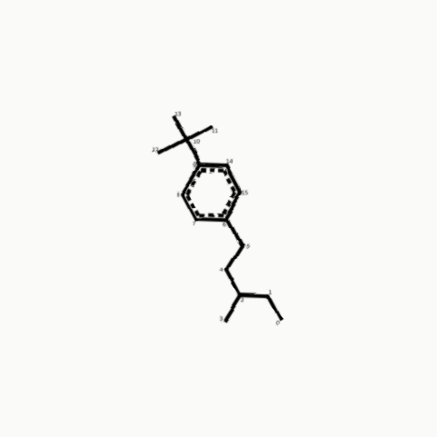 CCC(C)CCc1ccc(C(C)(C)C)cc1